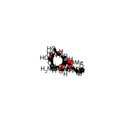 CC[C@H](C)[C@H]1NC(=O)CNC(=O)C2Cc3c([nH]c4c(CSCCNC(=O)ON5C(=O)CCC5=O)c(OC)ccc34)[S+]([O-])C[C@H](NC(=O)CNC1=O)C(=O)N[C@@H](CC(N)=O)C(=O)N1C[C@H](O)C[C@@H]1C(=O)N[C@@H]([C@@H](C)[C@@H](O)CO)C(=O)N2